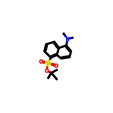 CN(C)c1cccc2c(S(=O)(=O)OC(C)(C)C)cccc12